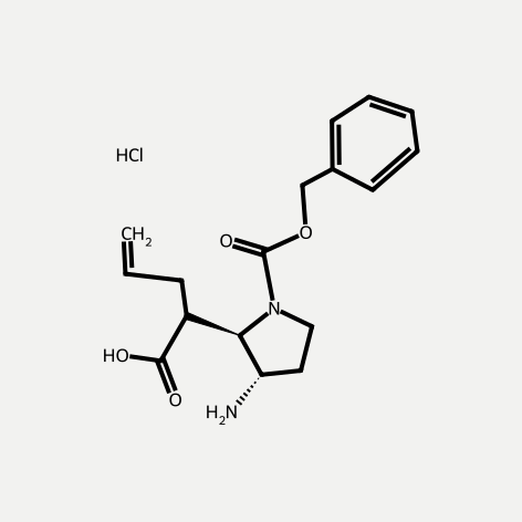 C=CCC(C(=O)O)[C@@H]1[C@@H](N)CCN1C(=O)OCc1ccccc1.Cl